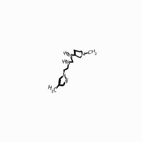 Cc1cnn(CCNCNC2CCN(C)C2)c1